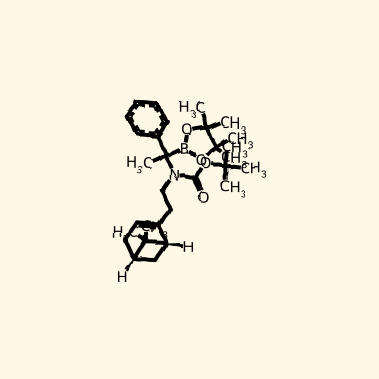 CC(C)(C)OC(=O)N(CCC1=CC[C@H]2C[C@@H]1C2(C)C)C(C)(B1OC(C)(C)C(C)(C)O1)c1ccccc1